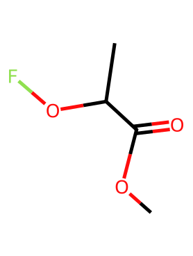 COC(=O)C(C)OF